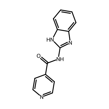 O=C(Nc1nc2ccccc2[nH]1)c1ccncc1